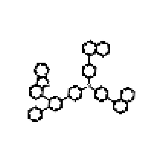 c1ccc(-c2ccc(-c3ccc(N(c4ccc(-c5cccc6ccccc56)cc4)c4ccc(-c5cccc6ccccc56)cc4)cc3)cc2-c2cccc3c2sc2ccccc23)cc1